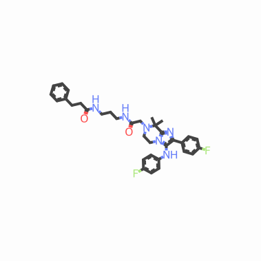 CC1(C)c2nc(-c3ccc(F)cc3)c(Nc3ccc(F)cc3)n2CCN1CC(=O)NCCCNC(=O)CCc1ccccc1